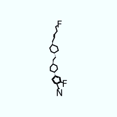 N#Cc1ccc([C@H]2CC[C@H](CC[C@H]3CC[C@H](C/C=C/CCF)CC3)CC2)cc1F